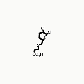 O=C(O)CCSCc1ccc(Cl)c(Cl)c1